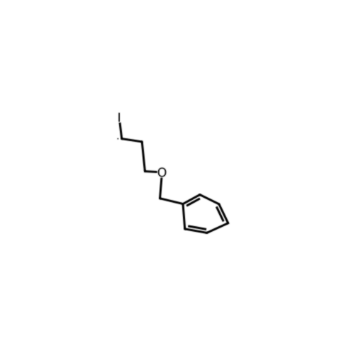 I[CH]CCOCc1ccccc1